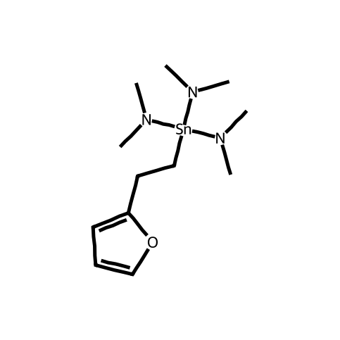 C[N](C)[Sn]([CH2]Cc1ccco1)([N](C)C)[N](C)C